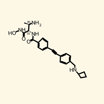 C[C@@H](N)[C@H](NC(=O)c1ccc(C#Cc2ccc(CNC3CCC3)cc2)cc1)C(=O)NO